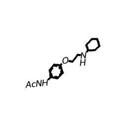 CC(=O)Nc1ccc(OCCNC2CCCCC2)cc1